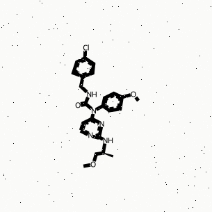 COC[C@H](C)Nc1nccc(N(C(=O)NCc2ccc(Cl)cc2)c2ccc(OC)cc2)n1